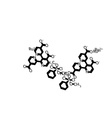 COP(Cl)(Cl)(OC)c1ccccc1.COP(Cl)(Cl)(OC)c1ccccc1.O=C([O-])c1ccnc(-c2nccc(C(=O)[O-])c2-c2cc(C(=O)[O-])ccn2)c1.O=C([O-])c1ccnc(-c2nccc(C(=O)[O-])c2-c2cc(C(=O)[O-])ccn2)c1.[Ru+2].[Ru+2].[Ru+2]